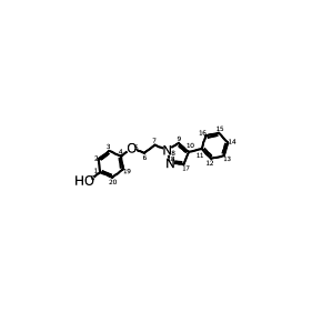 Oc1ccc(OCCn2cc(-c3ccccc3)cn2)cc1